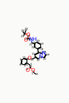 CCOC(=O)Cc1ccccc1OCc1cc(-c2cccc(CNC(=O)OC(C)(C)C)c2)c2nccn2c1